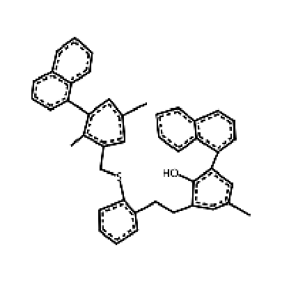 Cc1cc(CSc2ccccc2CCc2cc(C)cc(-c3cccc4ccccc34)c2O)c(C)c(-c2cccc3ccccc23)c1